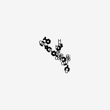 CC(C)c1ccccc1[C@H]1COCCN1C1CC2(CCN(c3ccc(C(=O)NS(=O)(=O)c4cc([N+](=O)[O-])c5c(n4)OC[C@H](CC4CCOCC4)O5)c(Oc4cnc5[nH]ccc5c4)c3)CC2)C1